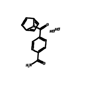 Cl.Cl.NC(=O)c1ccc(C(=O)n2c3ccc2cc3)cc1